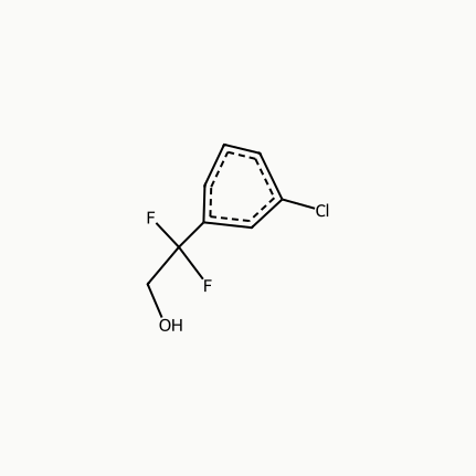 OCC(F)(F)c1cccc(Cl)c1